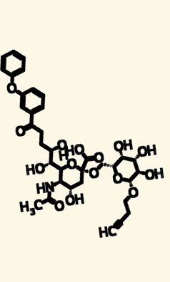 C#CCCO[C@@H]1O[C@H](CO[C@]2(C(=O)O)C[C@H](O)[C@@H](NC(C)=O)C([C@H](O)[C@H](O)CCC(=O)c3cccc(Oc4ccccc4)c3)O2)[C@H](O)[C@H](O)[C@H]1O